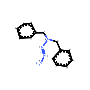 N/N=N/N(Cc1ccccc1)Cc1ccccc1